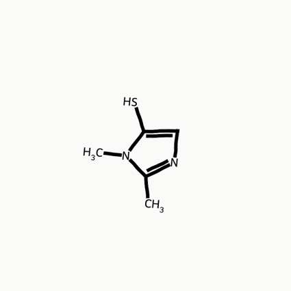 Cc1ncc(S)n1C